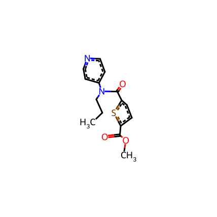 CCCN(C(=O)c1ccc(C(=O)OC)s1)c1ccncc1